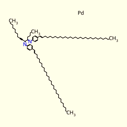 CCCCCCCCC#CC(=Nc1ccc(C=CCCCCCCCCCCCCCCCCCCCCCCCCCCC)cc1)C(CCCC)=Nc1ccc(C=CCCCCCCCCCCCCCCCCCCCCCCCCCCC)cc1.[Pd]